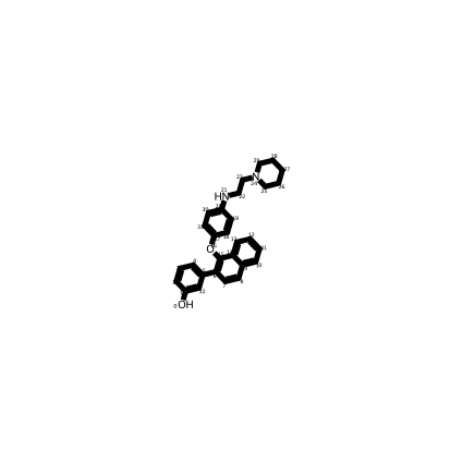 Oc1cccc(-c2ccc3ccccc3c2Oc2ccc(NCCN3CCCCC3)cc2)c1